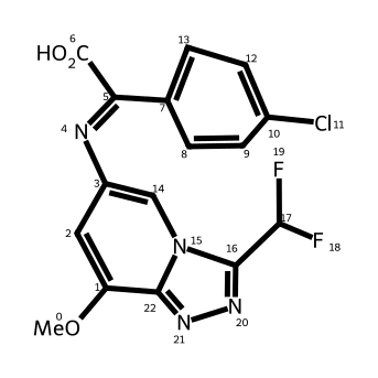 COc1cc(N=C(C(=O)O)c2ccc(Cl)cc2)cn2c(C(F)F)nnc12